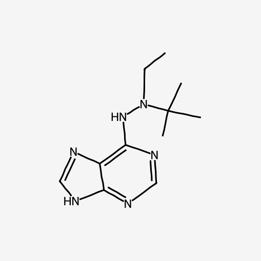 CCN(Nc1ncnc2[nH]cnc12)C(C)(C)C